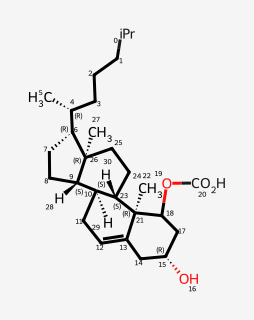 CC(C)CCC[C@@H](C)[C@H]1CC[C@H]2[C@@H]3CC=C4C[C@@H](O)CC(OC(=O)O)[C@]4(C)[C@H]3CC[C@]12C